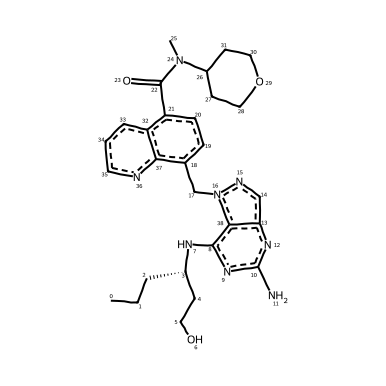 CCC[C@@H](CCO)Nc1nc(N)nc2cnn(Cc3ccc(C(=O)N(C)C4CCOCC4)c4cccnc34)c12